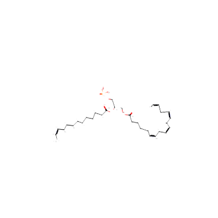 CC/C=C\C/C=C\C/C=C\C/C=C\CCCCC(=O)OC[C@H](COP(=O)(O)O)OC(=O)CCCCCCCCC/C=C\CCCCCCCC